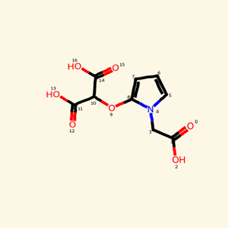 O=C(O)Cn1cccc1OC(C(=O)O)C(=O)O